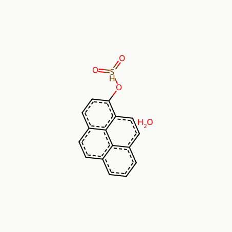 O.O=[SH](=O)Oc1ccc2ccc3cccc4ccc1c2c34